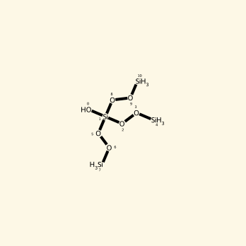 O[Si](OO[SiH3])(OO[SiH3])OO[SiH3]